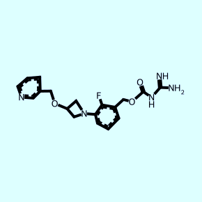 N=C(N)NC(=O)OCc1cccc(N2CC(OCc3cccnc3)C2)c1F